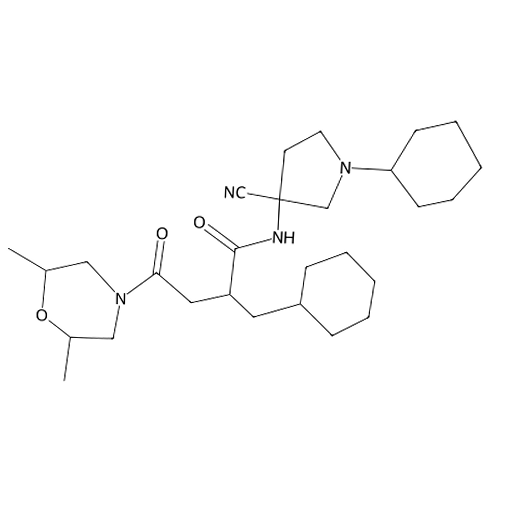 CC1CN(C(=O)CC(CC2CCCCC2)C(=O)NC2(C#N)CCN(C3CCCCC3)C2)CC(C)O1